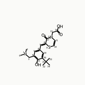 CN(C)Cc1cc(C=C2SC=CN(CC(=O)O)C2=O)cc(C(C)(C)C)c1O